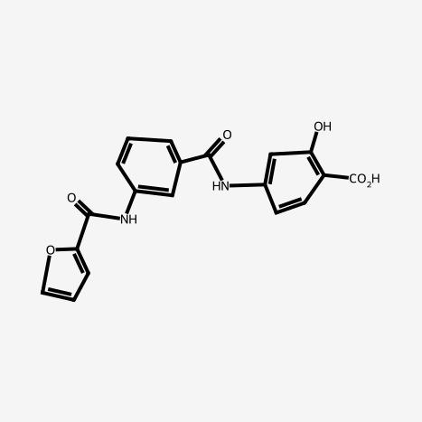 O=C(Nc1ccc(C(=O)O)c(O)c1)c1cccc(NC(=O)c2ccco2)c1